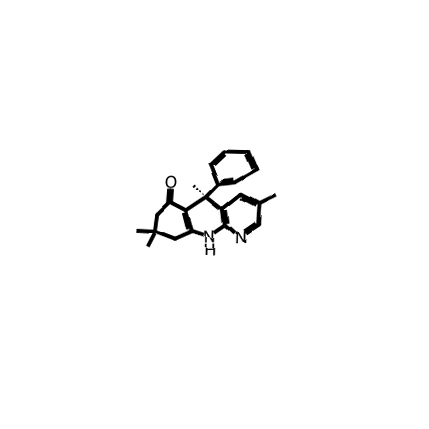 Cc1cnc2c(c1)[C@](C)(c1ccccc1)C1=C(CC(C)(C)CC1=O)N2